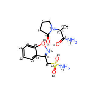 CC[C@@H](C(N)=O)N1CCCC1=O.NS(=O)(=O)Cc1noc2ccccc12